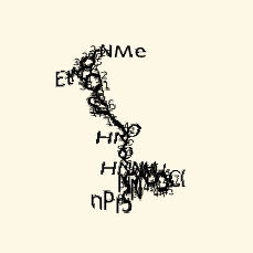 CCCSc1nc(NCCOCCNC(=O)C#Cc2csc(-c3ccc4c5cc(CNC)ccc5n(CC)c4c3)c2)c(N)c(N(N)Cc2ccc(Cl)cc2)n1